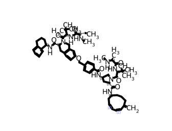 C=C1/C=C\C=C/C[C@H](NC(=O)[C@@H]2C[C@H](NC(=O)c3ccc(COc4ccc5c(c4)CN(C(=O)[C@@H](NC(=O)[C@H](CC)NC)C(C)(C)C)[C@H](C(=O)N[C@@H]4CCCc6ccccc64)C5)cc3)CN2C(=O)[C@@H](NC(=O)[C@H](C)NC)C(C)(C)C)CCC1